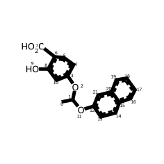 CC(Oc1ccc(C(=O)O)c(O)c1)Oc1ccc2ccccc2c1